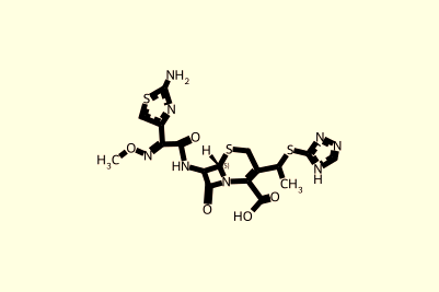 CON=C(C(=O)NC1C(=O)N2C(C(=O)O)=C(C(C)Sc3nnc[nH]3)CS[C@@H]12)c1csc(N)n1